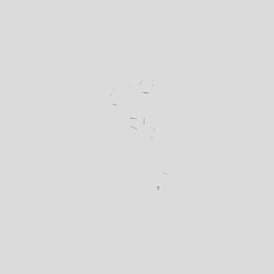 N#CCC(=O)N1CCC(CC(=O)Nc2ccc3cc2CCc2cncc(c2)Nc2ncc(Cl)c(n2)N3)CC1